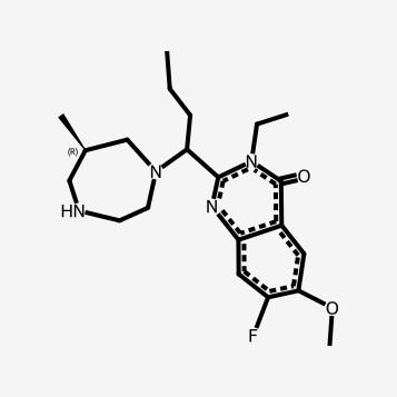 CCCC(c1nc2cc(F)c(OC)cc2c(=O)n1CC)N1CCNC[C@@H](C)C1